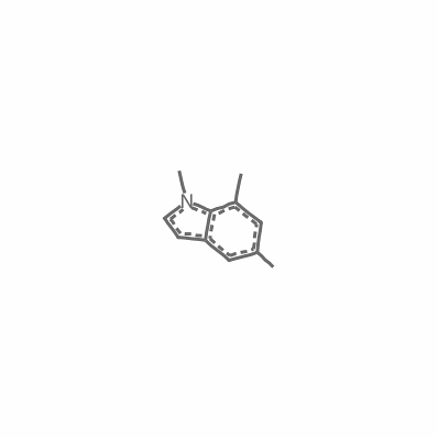 Cc1cc(C)c2c(ccn2C)c1